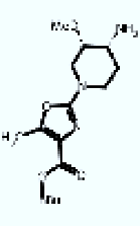 CCCCOC(=O)c1nc(N2CC[C@@H](N)[C@@H](OC)C2)oc1C